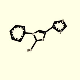 CC(C)(C)C1SC(c2cncs2)=[C]N1c1ccccc1